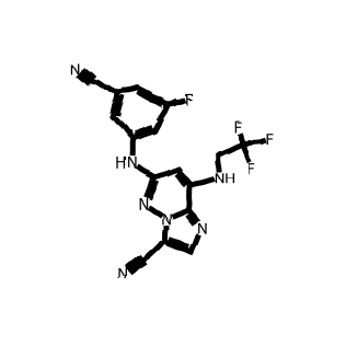 N#Cc1cc(F)cc(Nc2cc(NCC(F)(F)F)c3ncc(C#N)n3n2)c1